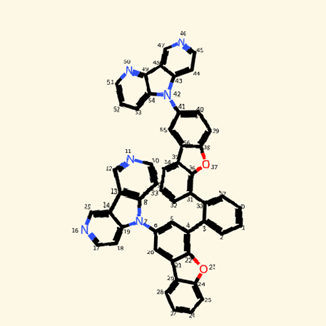 c1ccc(-c2cc(-n3c4ccncc4c4cnccc43)cc3c2oc2ccccc23)c(-c2cccc3c2oc2ccc(-n4c5ccncc5c5ncccc54)cc23)c1